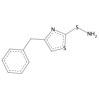 NSc1nc(Cc2ccccc2)cs1